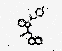 CN1CCN(CC(=O)n2cc(/C(C#N)=C/c3cccc4cnccc34)c3ccccc32)CC1